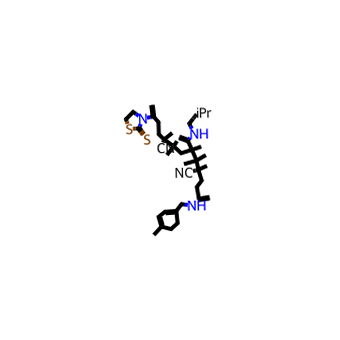 C=C(CCC(C)(C#N)C(C)(C)C(C)(CC(C)(C)C(C)(C#N)CCC(=C)N1CCSC1=S)C(=C)NCC(C)C)NCC1=CC=C(C)CC1